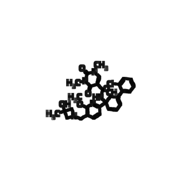 COc1nc(C2(NC(=O)c3cn(C)c(=O)n(C)c3=O)C=CC=C(c3ccccc3Cl)C2C)ccc1CN1CC(C)(O)C1